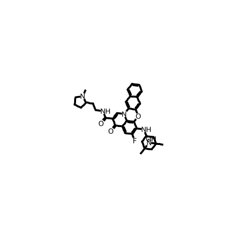 CN1CCCC1CCNC(=O)c1cn2c3c(c(NC4CC5(C)CC(C)(C4)N5O)c(F)cc3c1=O)Oc1cc3ccccc3cc1-2